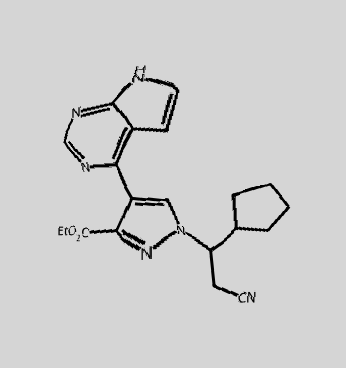 CCOC(=O)c1nn(C(CC#N)C2CCCC2)cc1-c1ncnc2[nH]ccc12